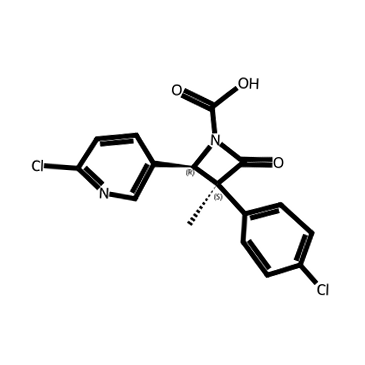 C[C@@]1(c2ccc(Cl)cc2)C(=O)N(C(=O)O)[C@@H]1c1ccc(Cl)nc1